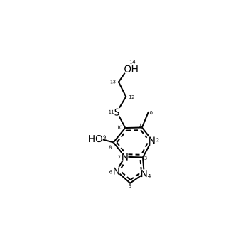 Cc1nc2ncnn2c(O)c1SCCO